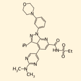 CCS(=O)(=O)NC(=O)c1cc(-c2cnc(N(C)C)nc2)c2c(C(C)C)nn(-c3cccc(N4CCOCC4)c3)c2n1